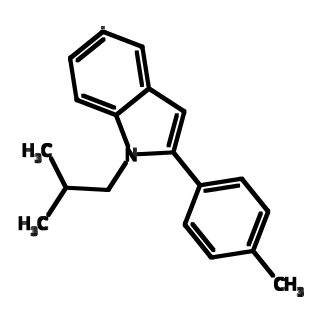 Cc1ccc(-c2cc3c[c]ccc3n2CC(C)C)cc1